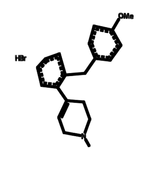 Br.COc1ccc(Cc2ccccc2C2=CCN(C)CC2)cc1